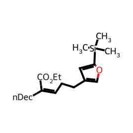 CCCCCCCCCCC(=CCCc1coc([Si](C)(C)C)c1)C(=O)OCC